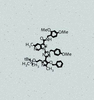 COc1ccc(Cn2nc(-c3c(OCc4ccccc4)c(C)nn3CCO[Si](C)(C)C(C)(C)C)nc2-n2nc(C(=O)NCc3ccc(OC)cc3OC)c3cc(C)ncc32)cc1